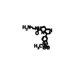 CN1c2ccc(-c3cncc4ccc(C(=O)NCCN)nc34)cc2CS1(=O)=O